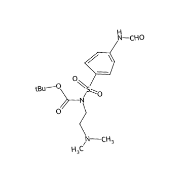 CN(C)CCN(C(=O)OC(C)(C)C)S(=O)(=O)c1ccc(NC=O)cc1